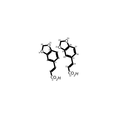 O=C(O)C=Cc1ccc2c(c1)OCO2.O=C(O)C=Cc1ccc2c(c1)OCO2